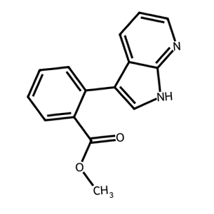 COC(=O)c1ccccc1-c1c[nH]c2ncccc12